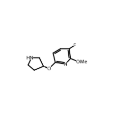 COc1nc(O[C@H]2CCNC2)ccc1F